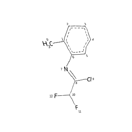 Cc1ccccc1N=C(Cl)C(F)F